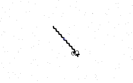 CCCCCCCC/C=C/CCCCCCCC(=O)OC(C)(C)C